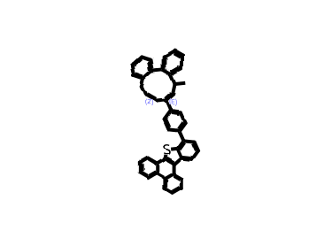 CC1/C=C(c2ccc(-c3cccc4c3sc3c5ccccc5c5ccccc5c43)cc2)\C=C/Cc2ccccc2-c2ccccc21